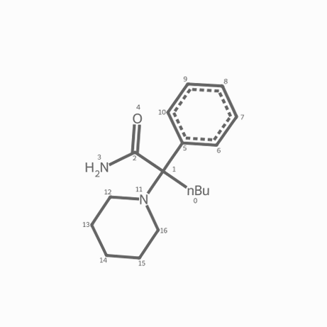 CCCCC(C(N)=O)(c1ccccc1)N1CCCCC1